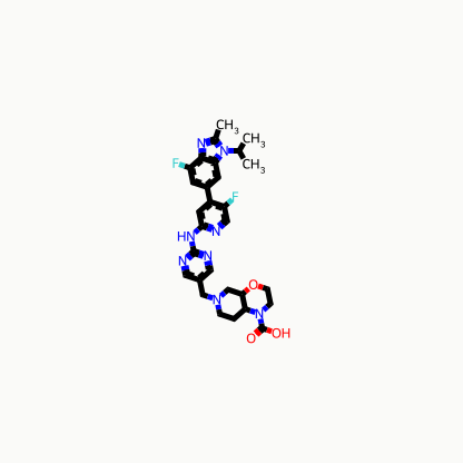 Cc1nc2c(F)cc(-c3cc(Nc4ncc(CN5CCC6C(C5)OCCN6C(=O)O)cn4)ncc3F)cc2n1C(C)C